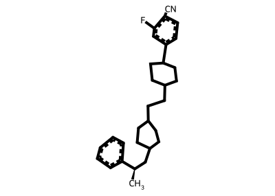 C[C@H](CC1CCC(CCC2CCC(c3ccc(C#N)c(F)c3)CC2)CC1)c1ccccc1